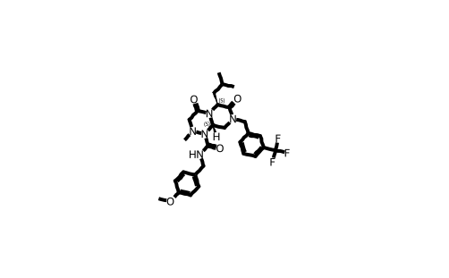 COc1ccc(CNC(=O)N2[C@H]3CN(Cc4cccc(C(F)(F)F)c4)C(=O)[C@H](CC(C)C)N3C(=O)CN2C)cc1